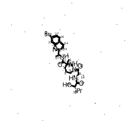 CC(NC(=O)C1(C)CCCN(C(=O)[C@H](C)NC(=O)[C@@H](O)C(C)C)N1)c1ccc2ccc(Br)cc2n1